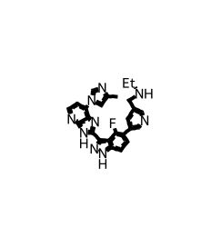 CCNCc1cncc(-c2ccc3[nH]nc(-c4nc5c(-n6cnc(C)c6)ccnc5[nH]4)c3c2F)c1